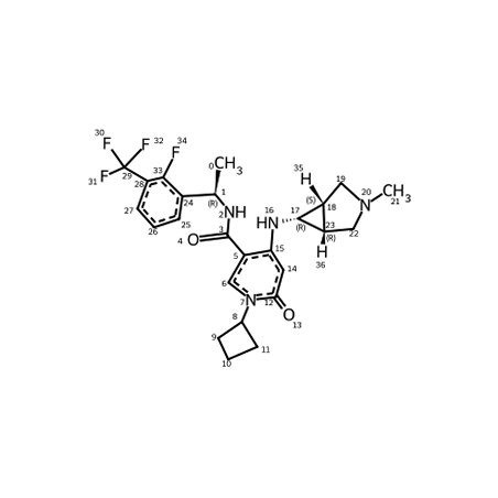 C[C@@H](NC(=O)c1cn(C2CCC2)c(=O)cc1N[C@@H]1[C@@H]2CN(C)C[C@@H]21)c1cccc(C(F)(F)F)c1F